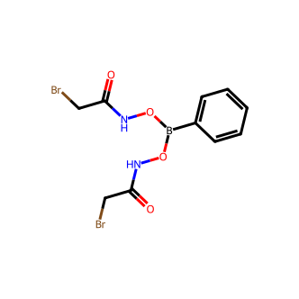 O=C(CBr)NOB(ONC(=O)CBr)c1ccccc1